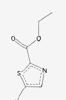 [CH2]c1cnc(C(=O)OCC)s1